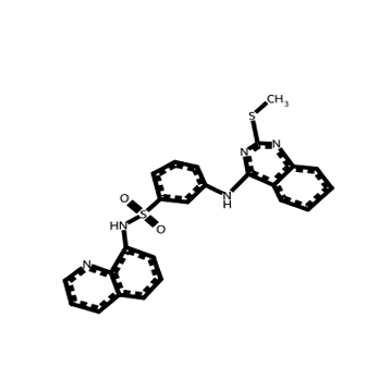 CSc1nc(Nc2cccc(S(=O)(=O)Nc3cccc4cccnc34)c2)c2ccccc2n1